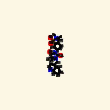 CN1C(C)(C)c2ccc(N3C(=O)N(Cc4ccnc5ccccc45)C(C)(C)C3=O)cc2S1(=O)=O